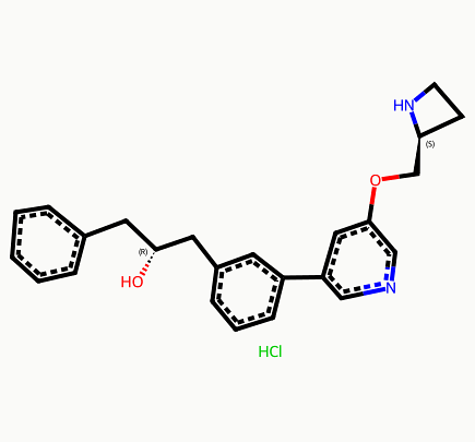 Cl.O[C@H](Cc1ccccc1)Cc1cccc(-c2cncc(OC[C@@H]3CCN3)c2)c1